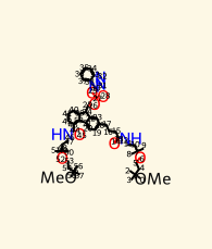 COC(C)(C)CCOC(C)(C)CCNC(=O)CCCc1ccc2c(c1)C(COC(=O)On1nnc3ccccc31)c1cccc(C(=O)NCCC(C)(C)OCCC(C)(C)OC)c1-2